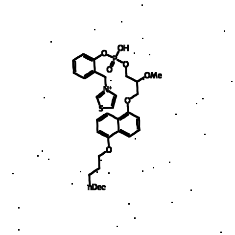 CCCCCCCCCCCCCOc1cccc2c(OCC(COP(=O)(O)Oc3ccccc3C[n+]3ccsc3)OC)cccc12